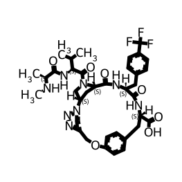 CN[C@@H](C)C(=O)N[C@H](C(=O)N1C[C@@H]2C[C@H]1C(=O)N[C@@H](Cc1ccc(C(F)(F)F)cc1)C(=O)N[C@H](C(=O)O)Cc1ccc(cc1)OCc1cn2nn1)C(C)C